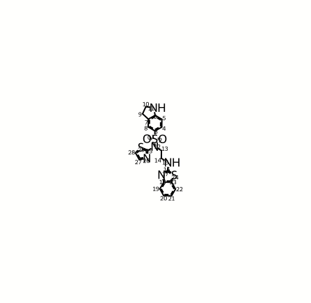 O=S(=O)(c1ccc2c(c1)CCN2)N(CCNc1nc2ccccc2s1)c1nccs1